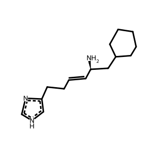 N[C@H](/C=C/CCc1c[nH]cn1)CC1CCCCC1